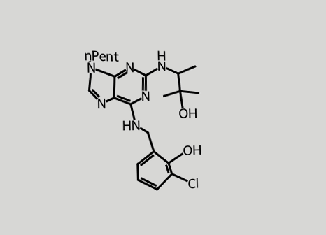 CCCCCn1cnc2c(NCc3cccc(Cl)c3O)nc(NC(C)C(C)(C)O)nc21